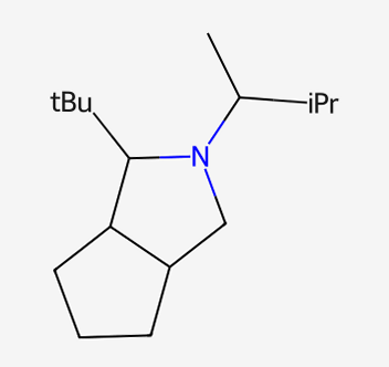 CC(C)C(C)N1CC2CCCC2C1C(C)(C)C